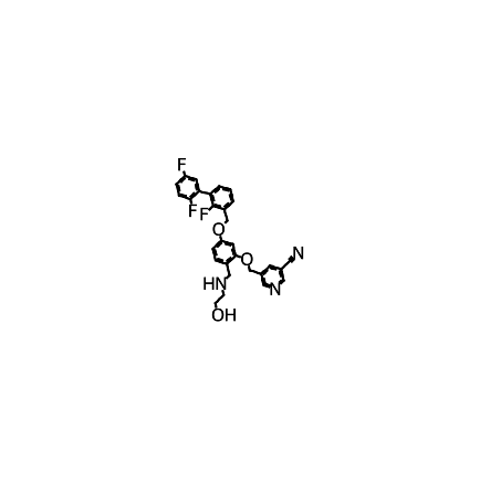 N#Cc1cncc(COc2cc(OCc3cccc(-c4cc(F)ccc4F)c3F)ccc2CNCCO)c1